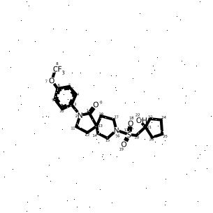 O=C1N(c2ccc(OC(F)(F)F)cc2)CCC12CCN(S(=O)(=O)CC1(O)CCCC1)CC2